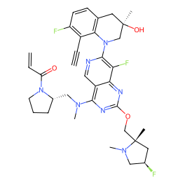 C#Cc1c(F)ccc2c1N(c1ncc3c(N(C)C[C@@H]4CCCN4C(=O)C=C)nc(OC[C@]4(C)C[C@@H](F)CN4C)nc3c1F)C[C@](C)(O)C2